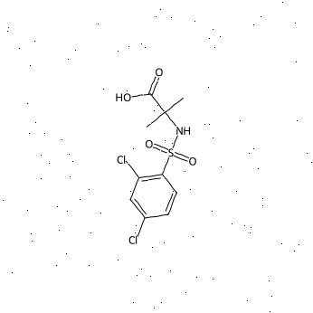 CC(C)(NS(=O)(=O)c1ccc(Cl)cc1Cl)C(=O)O